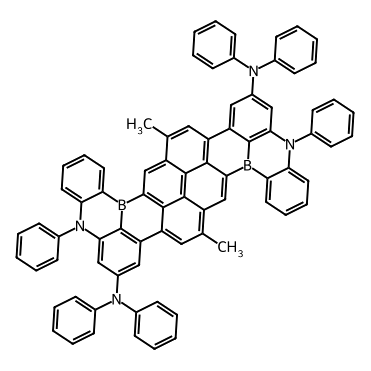 Cc1cc2c3c(cc4c(C)cc5c6c(cc1c3c46)B1c3ccccc3N(c3ccccc3)c3cc(N(c4ccccc4)c4ccccc4)cc-5c31)B1c3ccccc3N(c3ccccc3)c3cc(N(c4ccccc4)c4ccccc4)cc-2c31